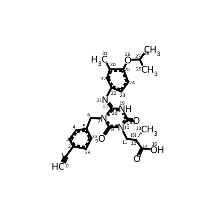 C#Cc1ccc(Cn2c(=O)n(C[C@H](C)C(=O)O)c(=O)[nH]/c2=N\c2ccc(OC(C)C)c(C)c2)cc1